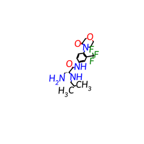 CC(C)CN[C@H](CN)C(=O)Nc1ccc(N2CCOCC2=O)c(C(F)(F)F)c1